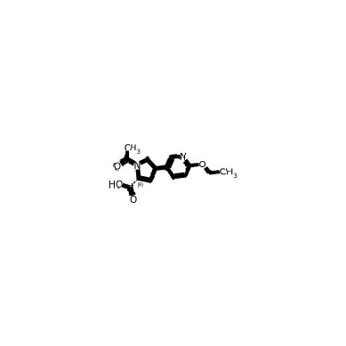 CCOc1ccc(C2C[C@H](C(=O)O)N(C(C)=O)C2)cn1